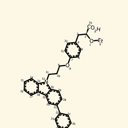 CCO[C@@H](Cc1ccc(OCCCn2c3ccccc3c3cc(-c4ccccc4)ccc32)cc1)C(=O)O